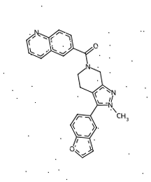 Cn1nc2c(c1-c1ccc3occc3c1)CCN(C(=O)c1ccc3ncccc3c1)C2